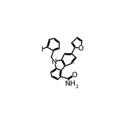 NC(=O)c1cccc2c1c1[c]cc(-c3ccco3)cc1n2Cc1ccccc1I